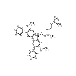 COc1cc2c(cc1-c1ccccc1)c1cc(-c3ccccc3)c(OC)cc1n2CCC(C)CCCC(C)C